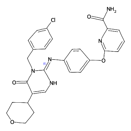 NC(=O)c1cccc(Oc2ccc(/N=c3\[nH]cc(C4CCOCC4)c(=O)n3Cc3ccc(Cl)cc3)cc2)n1